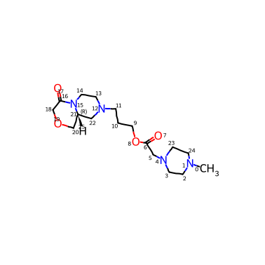 CN1CCN(CC(=O)OCCCN2CCN3C(=O)COC[C@H]3C2)CC1